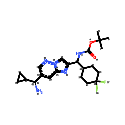 CC(C)(C)OC(=O)NC(c1cn2ncc([C@H](N)C3CC3)cc2n1)C1CCC(F)(F)CC1